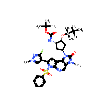 Cn1cc(-c2cc3c(ncc4c3n([C@H]3C[C@H](NC(=O)OC(C)(C)C)[C@H](O[Si](C)(C)C(C)(C)C)C3)c(=O)n4C)n2S(=O)(=O)c2ccccc2)c(F)n1